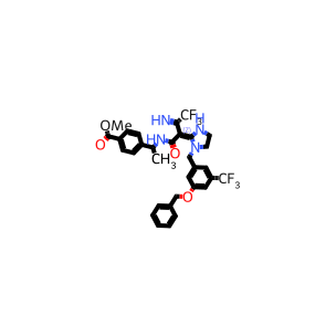 COC(=O)c1ccc(C(C)NC(=O)/C(C(=N)C(F)(F)F)=C2/NCCN2Cc2cc(OCc3ccccc3)cc(C(F)(F)F)c2)cc1